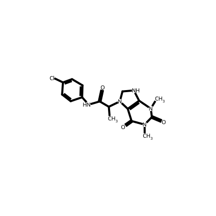 CC(C(=O)Nc1ccc(Cl)cc1)N1CNc2c1c(=O)n(C)c(=O)n2C